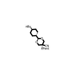 CCCCC[C@]1(C#N)CO[C@@H]([C@H]2CC[C@H](CCCC)CC2)OC1